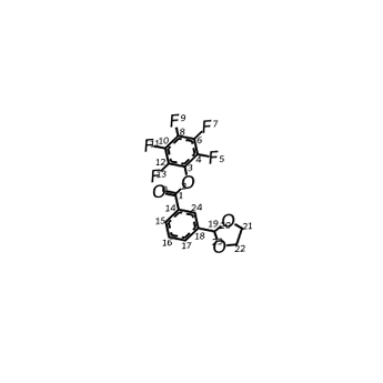 O=C(Oc1c(F)c(F)c(F)c(F)c1F)c1cccc(C2OCCO2)c1